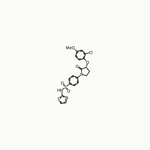 COc1ccc(O[C@H]2CCN(c3ccc(S(=O)(=O)Nc4nccs4)cc3)C2=O)c(Cl)c1